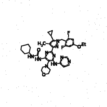 CCOc1cc(F)c(Cn2nc(-c3nc(NC(=O)NC4CCCCC4)c(N4CCOCC4)c(Nc4ccncn4)n3)c(C)c2C2CC2)c(F)c1